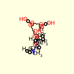 C=C(/C=C/C1=C(Oc2ccc(C3OC(CCC)CC(CC(O)CCCC4CC(CCCC5CC(CC)OC(c6ccc(O)cc6)O5)OC(c5ccc(O)cc5)O4)O3)cc2)C(=C/C=C2/N(C)c3ccc4ccccc4c3C2(C)C)/c2ccccc21)C(C)(C)c1c(C)ccc2ccccc12